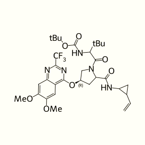 C=CC1CC1NC(=O)C1C[C@@H](Oc2nc(C(F)(F)F)nc3cc(OC)c(OC)cc23)CN1C(=O)C(NC(=O)OC(C)(C)C)C(C)(C)C